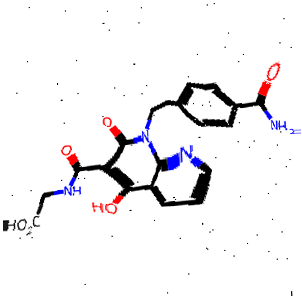 NC(=O)c1ccc(Cn2c(=O)c(C(=O)NCC(=O)O)c(O)c3cccnc32)cc1